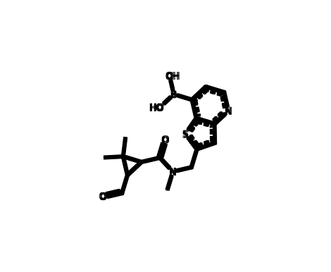 CN(Cc1cc2nccc(B(O)O)c2s1)C(=O)C1C(C=O)C1(C)C